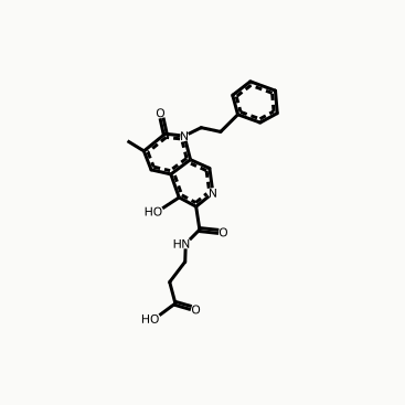 Cc1cc2c(O)c(C(=O)NCCC(=O)O)ncc2n(CCc2ccccc2)c1=O